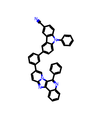 N#Cc1ccc2c(c1)c1cc(-c3cccc(-c4ccc5nc6c7ccccc7nc(-c7ccccc7)c6n5c4)c3)ccc1n2-c1ccccc1